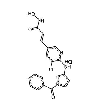 Cl.O=C(C=Cc1cnc(Nc2ccn(C(=O)c3ccccc3)c2)c(Cl)c1)NO